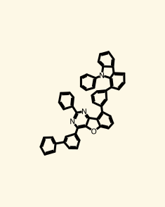 c1ccc(-c2cccc(-c3nc(-c4ccccc4)nc4c3oc3cccc(-c5cccc(-c6cccc7c8ccccc8n(-c8ccccc8)c67)c5)c34)c2)cc1